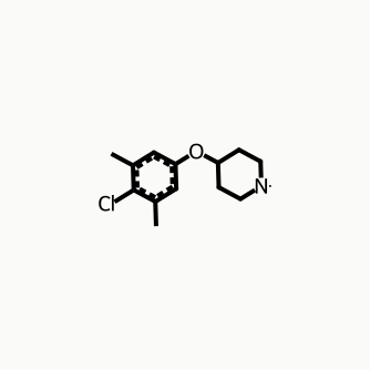 Cc1cc(OC2CC[N]CC2)cc(C)c1Cl